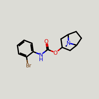 CN1C2CCC1CC(OC(=O)Nc1ccccc1Br)C2